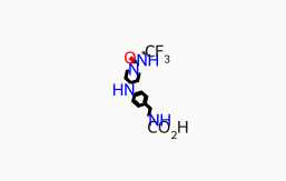 O=C(O)NCCc1ccc(NC2CCN(C(=O)NCC(F)(F)F)CC2)cc1